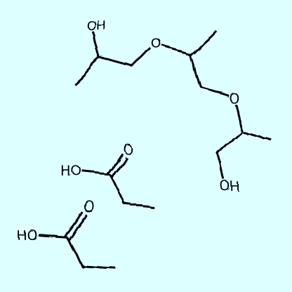 CC(O)COC(C)COC(C)CO.CCC(=O)O.CCC(=O)O